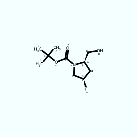 CC(C)(C)OC(=O)N1C[C@H](F)C[C@@H]1CO